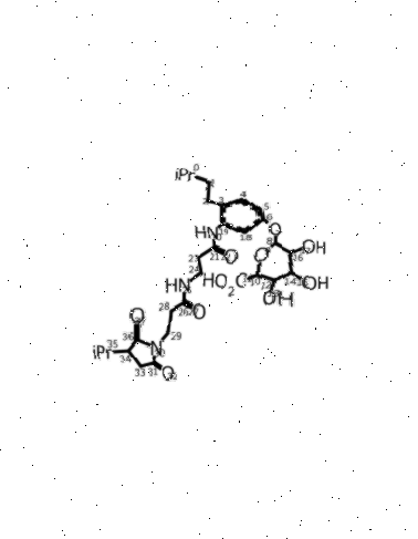 CC(C)CCc1ccc(OC2OC(C(=O)O)C(O)C(O)C2O)cc1NC(=O)CCNC(=O)CCN1C(=O)CC(C(C)C)C1=O